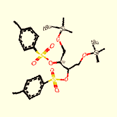 Cc1ccc(S(=O)(=O)OC(CO[Si](C)(C)C(C)(C)C)[C@H](CO[Si](C)(C)C(C)(C)C)OS(=O)(=O)c2ccc(C)cc2)cc1